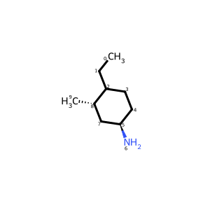 CCC1CC[C@@H](N)C[C@@H]1C